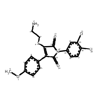 COc1ccc(C2=C(SCCN)C(=O)N(c3ccc(Cl)c(Cl)c3)C2=O)cc1